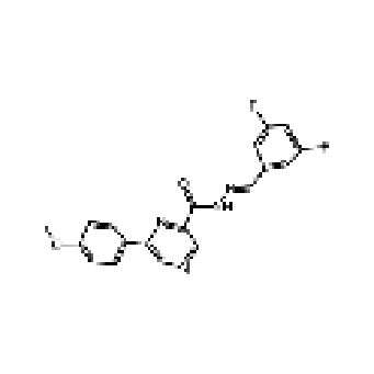 COc1ccc(-c2cncc(C(=O)NN=Cc3cc(F)cc(F)c3)n2)cc1